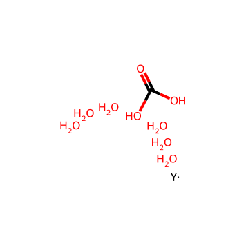 O.O.O.O.O.O.O=C(O)O.[Y]